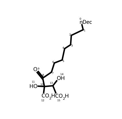 CCCCCCCCCCCCCCCCCC(=O)C(O)(C(=O)O)C(O)C(=O)O